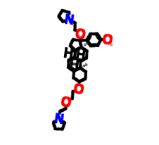 COc1ccc([C@]2(OCCN3CCCC3)CC[C@H]3[C@@H]4CC=C5C[C@@H](OCCOCCN6CCCC6)CC[C@]5(C)[C@H]4CC[C@@]32C)cc1